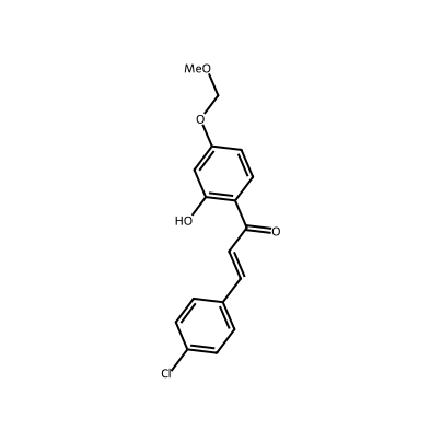 COCOc1ccc(C(=O)/C=C/c2ccc(Cl)cc2)c(O)c1